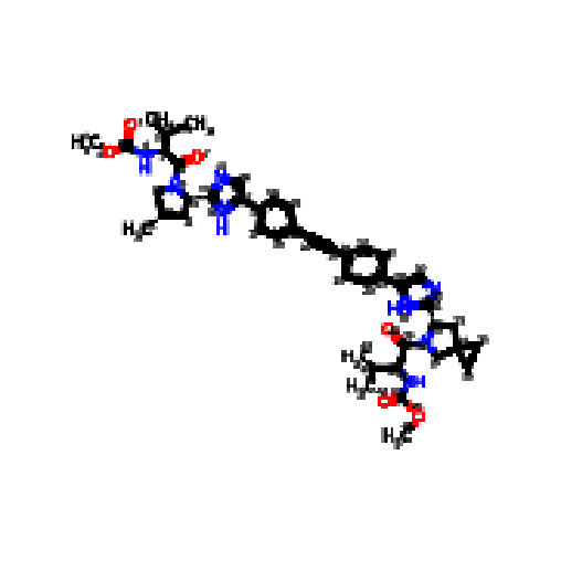 COC(=O)N[C@H](C(=O)N1C[C@@H](C)C[C@H]1c1ncc(-c2ccc(C#Cc3ccc(-c4cnc([C@@H]5CC6(CC6)CN5C(=O)[C@@H](NC(=O)OC)C(C)C)[nH]4)cc3)cc2)[nH]1)C(C)C